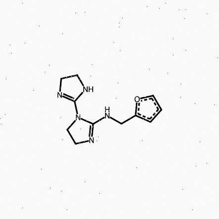 c1coc(CNC2=NCCN2C2=NCCN2)c1